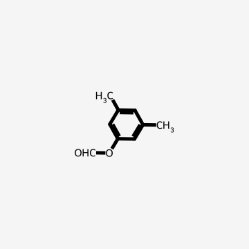 Cc1cc(C)cc(OC=O)c1